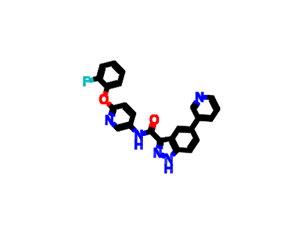 O=C(Nc1ccc(Oc2ccccc2F)nc1)c1n[nH]c2ccc(-c3cccnc3)cc12